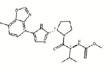 COC(=O)N[C@H](C(=O)N1CCC[C@H]1c1ncc(-c2ccc(C)c3ocnc23)[nH]1)C(C)C